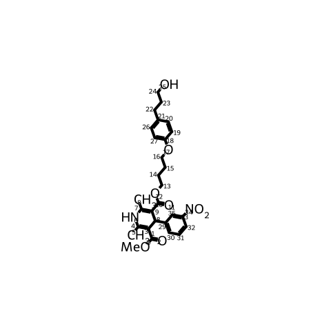 COC(=O)C1=C(C)NC(C)=C(C(=O)OCCCCOc2ccc(CCCO)cc2)C1c1cccc([N+](=O)[O-])c1